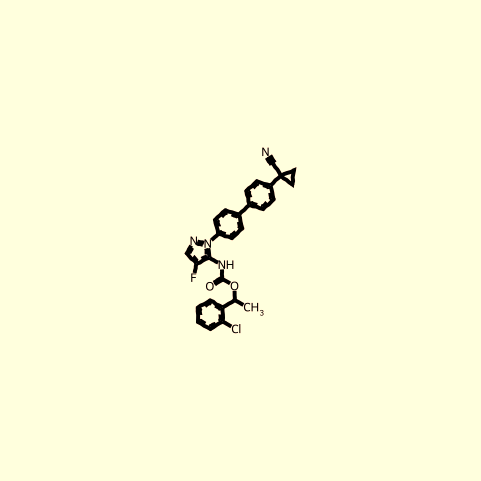 CC(OC(=O)Nc1c(F)cnn1-c1ccc(-c2ccc(C3(C#N)CC3)cc2)cc1)c1ccccc1Cl